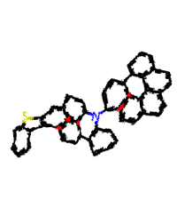 c1ccc(-c2ccccc2N(c2ccc(-c3cccc4ccc5ccc6ccccc6c5c34)cc2)c2ccc3cc4sc5ccccc5c4cc3c2)cc1